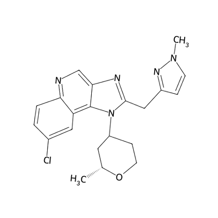 C[C@@H]1CC(n2c(Cc3ccn(C)n3)nc3cnc4ccc(Cl)cc4c32)CCO1